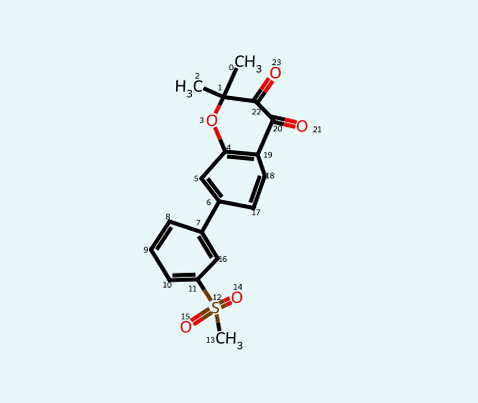 CC1(C)Oc2cc(-c3cccc(S(C)(=O)=O)c3)ccc2C(=O)C1=O